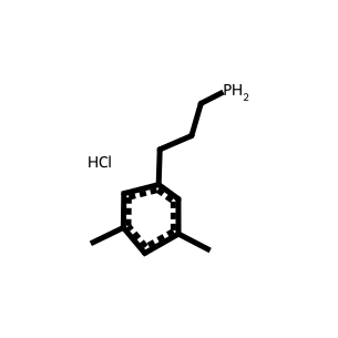 Cc1cc(C)cc(CCCP)c1.Cl